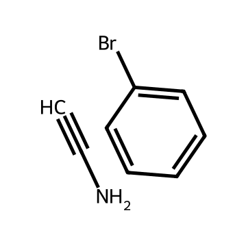 Brc1ccccc1.C#CN